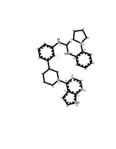 CC(Nc1cccc(C2CCCN(c3ncnc4[nH]ccc34)C2)c1)Nc1ccccc1N1CCCC1